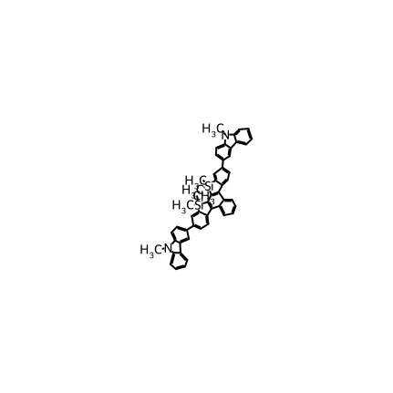 Cn1c2ccccc2c2cc(-c3ccc4c(c3)[Si](C)(C)c3c5c(c6ccccc6c3-4)-c3ccc(-c4ccc6c(c4)c4ccccc4n6C)cc3[Si]5(C)C)ccc21